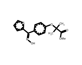 COC(=O)C(C)(C)Oc1ccc(/C(=N\O)c2cccs2)cc1